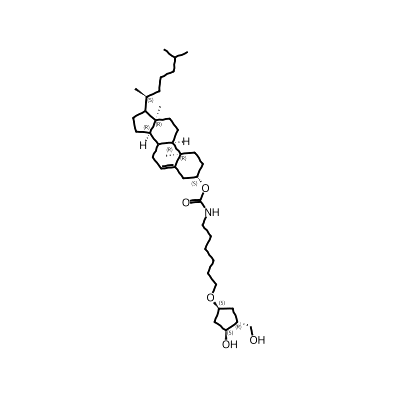 CC(C)CCC[C@H](C)C1CC[C@@H]2C3CC=C4C[C@@H](OC(=O)NCCCCCCO[C@H]5C[C@H](CO)[C@@H](O)C5)CC[C@]4(C)[C@@H]3CC[C@]12C